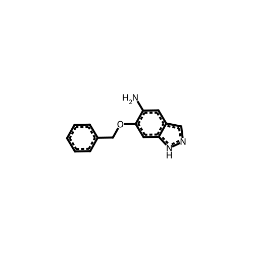 Nc1cc2cn[nH]c2cc1OCc1ccccc1